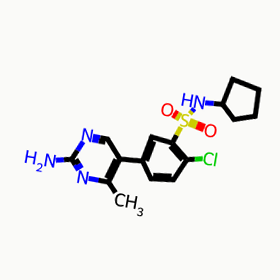 Cc1nc(N)ncc1-c1ccc(Cl)c(S(=O)(=O)NC2CCCC2)c1